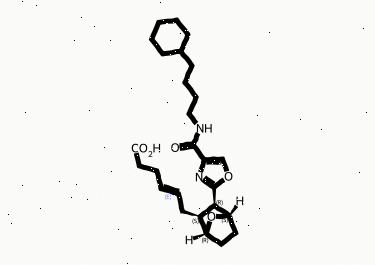 O=C(O)CC/C=C/C[C@H]1[C@@H](c2nc(C(=O)NCCCCC3CCCCC3)co2)[C@@H]2CC[C@H]1O2